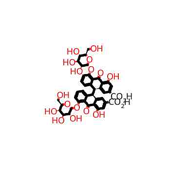 O=C(O)c1cc(O)c2c(c1)[C@H]([C@H]1c3cc(C(=O)O)cc(O)c3C(=O)c3c(O[C@@H]4O[C@H](CO)[C@@H](O)[C@H](O)[C@H]4O)cccc31)c1cccc(OC3O[C@H](CO)[C@@H](O)[C@H](O)[C@H]3O)c1C2=O